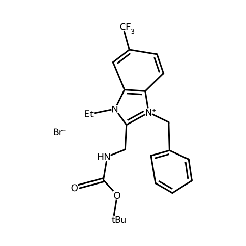 CCn1c(CNC(=O)OC(C)(C)C)[n+](Cc2ccccc2)c2ccc(C(F)(F)F)cc21.[Br-]